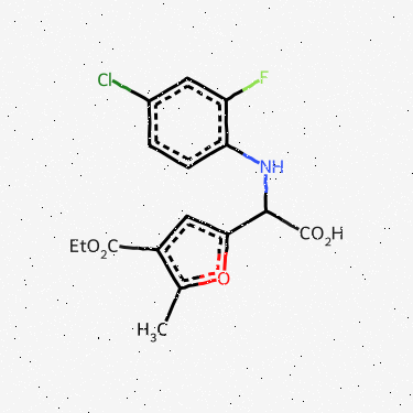 CCOC(=O)c1cc(C(Nc2ccc(Cl)cc2F)C(=O)O)oc1C